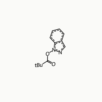 CC(C)(C)C(=O)On1ncc2ccccc21